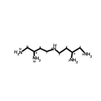 NCC(N)CCNCCC(N)CN